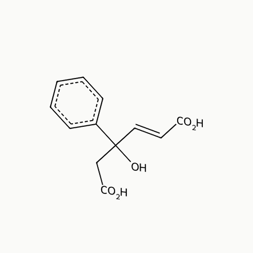 O=C(O)/C=C/C(O)(CC(=O)O)c1ccccc1